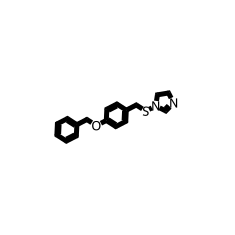 C1=NCCN1SCc1ccc(OCc2ccccc2)cc1